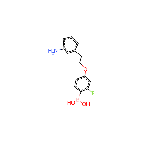 Nc1cccc(CCOc2ccc(B(O)O)c(F)c2)c1